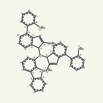 CCCCC1=Cc2c(-c3ccccc3CCCC)cccc2[CH]1[Zr]([c]1cccc2c1[SiH2]c1ccccc1-2)[CH]1C(CCCC)=Cc2c(-c3ccccc3CCCC)cccc21